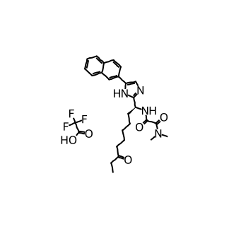 CCC(=O)CCCCC[C@H](NC(=O)C(=O)N(C)C)c1ncc(-c2ccc3ccccc3c2)[nH]1.O=C(O)C(F)(F)F